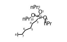 CCCO[Si](CCCCCI)(OCCC)OCCC